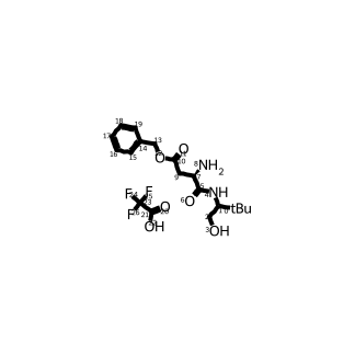 CC(C)(C)C(CO)NC(=O)[C@H](N)CC(=O)OCc1ccccc1.O=C(O)C(F)(F)F